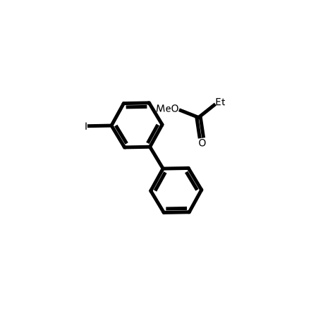 CCC(=O)OC.Ic1cccc(-c2ccccc2)c1